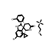 CC1([C@H]2NC(=O)C[C@@H](c3cccc(Cl)c3)[C@]23C(=O)Nc2cc(Br)ccc23)CC1.COCC[Si](C)(C)C